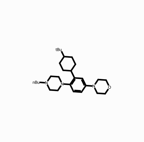 CCCCN1CCN(c2ccc(N3CCOCC3)cc2C2CCC(C(C)(C)C)CC2)CC1